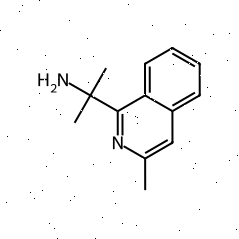 Cc1cc2ccccc2c(C(C)(C)N)n1